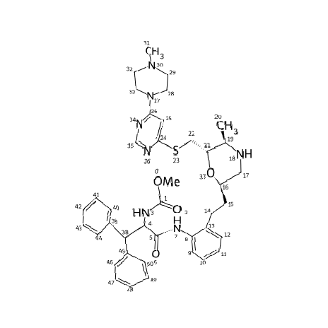 COC(=O)NC(C(=O)Nc1ccccc1CC[C@@H]1CN[C@H](C)[C@@H](CSc2cc(N3CCN(C)CC3)ncn2)O1)C(c1ccccc1)c1ccccc1